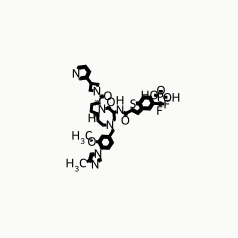 COc1cc(CN2CC[C@H]3CC[C@@H](C(=O)N4CC(c5cccnc5)C4)N3C(=O)C(NC(=O)c3cc4cc(C(F)(F)P(=O)(O)O)ccc4s3)C2)ccc1-n1cnc(C)c1